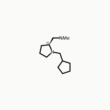 CNC[C@@H]1CCCN1CC1CCCC1